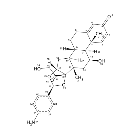 C[C@]12C=CC(=O)C=C1CC[C@@H]1[C@@H]2[C@@H](O)C[C@@]2(C)[C@H]1C[C@H]1O[C@H](c3ccc(N)cc3)O[C@]12C(=O)CO